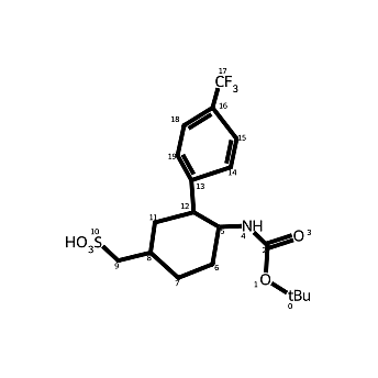 CC(C)(C)OC(=O)NC1CCC(CS(=O)(=O)O)CC1c1ccc(C(F)(F)F)cc1